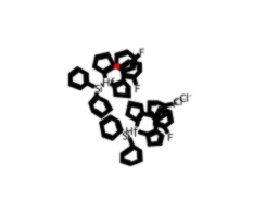 Fc1cccc(C2=[C]([Hf]([C]3=C(c4cccc(F)c4)C=CC3)=[Si](c3ccccc3)c3ccccc3)CC=C2)c1.Fc1cccc(C2=[C]([Hf]([C]3=C(c4cccc(F)c4)C=CC3)=[Si](c3ccccc3)c3ccccc3)CC=C2)c1.[Cl-].[Cl-]